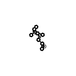 c1ccc(-n2c3cc4c(cc3c3c5ccccc5ccc32)c2ccccc2n4-c2cccc(-c3ccc4oc5ccccc5c4c3)c2)cc1